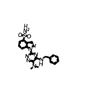 CN(C)c1nnc(-n2ncc3c(S(N)(=O)=O)cccc32)nc1NCc1ccccc1